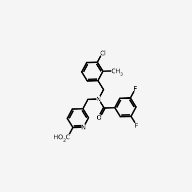 Cc1c(Cl)cccc1CN(Cc1ccc(C(=O)O)nc1)C(=O)c1cc(F)cc(F)c1